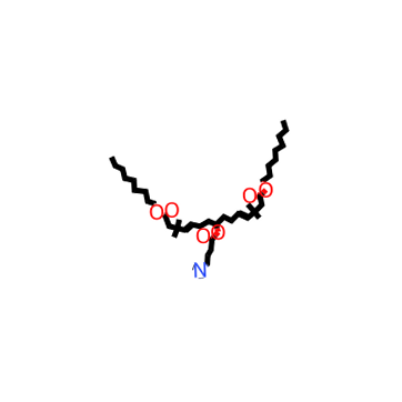 CCCCCCCCCOC(=O)CC(C)(C)/C=C/CCC(CC/C=C/C(C)(C)CC(=O)OCCCCCCCCC)OC(=O)CCCN(C)C